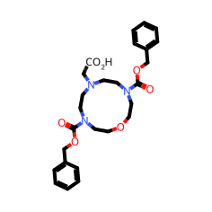 O=C(O)CN1CCN(C(=O)OCc2ccccc2)CCOCCN(C(=O)OCc2ccccc2)CC1